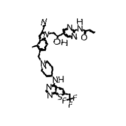 C=CC(=O)Nc1ncc(C(O)Cn2c(C#N)cc3c(C)c(CN4CCC(Nc5ncnc6sc(CC(F)(F)F)cc56)CC4)ccc32)cn1